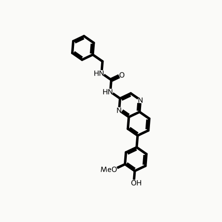 COc1cc(-c2ccc3ncc(NC(=O)NCc4ccccc4)nc3c2)ccc1O